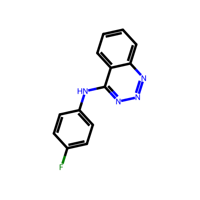 Fc1ccc(Nc2nnnc3ccccc23)cc1